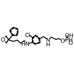 O=[PH](O)OCCCNCc1ccc(NCCCCC2(c3ccccc3)COC2)c(Cl)c1